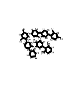 Cc1ccc(-c2ccc3c4ccccc4n(-c4cc(-c5c(F)cccc5F)cc(-n5c6ccccc6c6ccc(-c7ccc(C)cc7C)cc65)c4C(F)(F)F)c3c2)c(C)c1